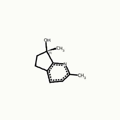 Cc1ccc2c(n1)[C@@](C)(O)CC2